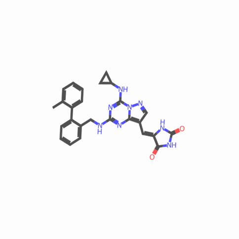 Cc1ccccc1-c1ccccc1CNc1nc(NC2CC2)n2ncc(/C=C3\NC(=O)NC3=O)c2n1